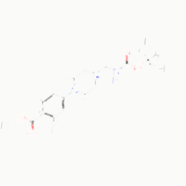 COC(=O)c1ccc(N2CCN(CNC(=O)OC(C)(C)C)CC2)cc1F